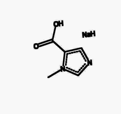 Cn1cncc1C(=O)O.[NaH]